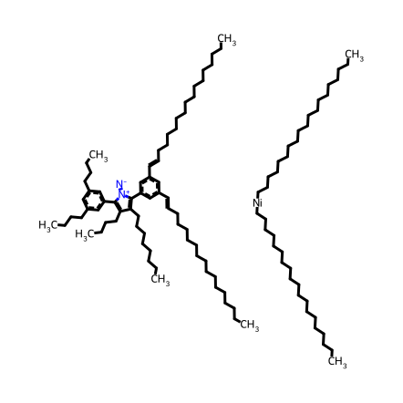 CCCCCCCCCCCCCCCC=Cc1cc(C=CCCCCCCCCCCCCCCC)cc(C2=C(CCCCCCCC)C(CCCC)=C(c3cc(CCCC)cc(CCCC)c3)[N+]2=[N-])c1.CCCCCCCCCCCCCCCCCC[CH2][Ni][CH2]CCCCCCCCCCCCCCCCCC